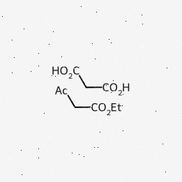 CCOC(=O)CC(C)=O.O=C(O)CC(=O)O